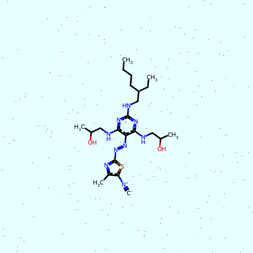 [C-]#[N+]c1sc(N=Nc2c(NCC(C)O)nc(NCC(CC)CCCC)nc2NCC(C)O)nc1C